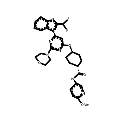 COc1ccc(NC(=O)[C@H]2CC[C@H](Oc3cc(-n4c(C(F)F)nc5ccccc54)nc(N4CCOCC4)n3)CC2)cn1